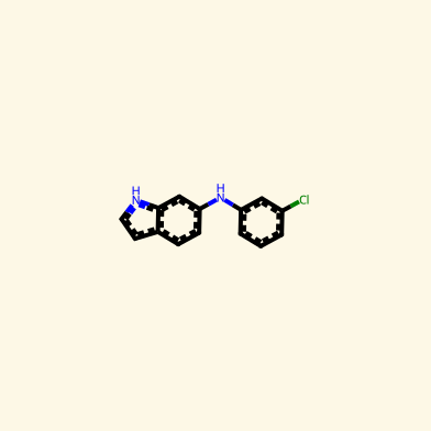 Clc1cccc(Nc2ccc3cc[nH]c3c2)c1